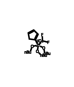 CCCC[O][Zr]([O]CCCC)([O]CCCC)([C]1=CC=CC1)[GeH]([F])[F]